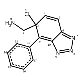 NCC1(Cl)C=CC2=NN=NC2=C1c1ccccc1